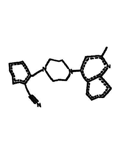 Cc1cc(N2CCN(c3ccccc3C#N)CC2)c2ccccc2n1